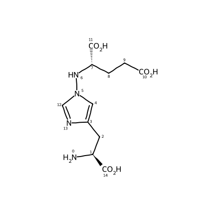 N[C@@H](Cc1cn(N[C@@H](CCC(=O)O)C(=O)O)cn1)C(=O)O